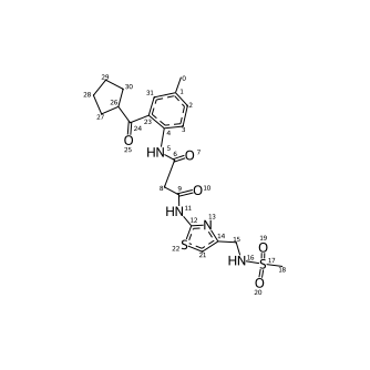 Cc1ccc(NC(=O)CC(=O)Nc2nc(CNS(C)(=O)=O)cs2)c(C(=O)C2CCCC2)c1